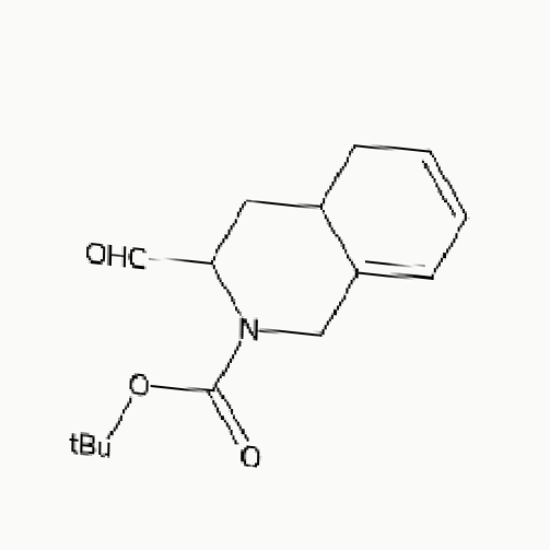 CC(C)(C)OC(=O)N1CC2=CC=CCC2CC1C=O